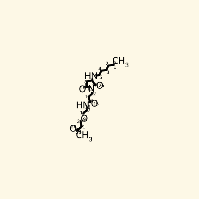 CCCCCCNC1CC(=O)N(CCC(=O)NCCOCCC(C)=O)C1=O